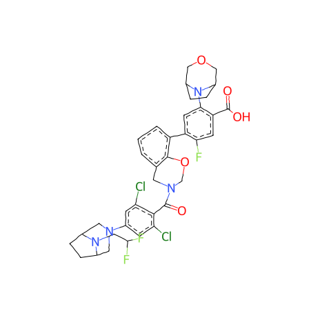 O=C(O)c1cc(F)c(-c2cccc3c2OCN(C(=O)c2c(Cl)cc(N4CC5CCC(C4)N5CC(F)F)cc2Cl)C3)cc1N1C2CCC1COC2